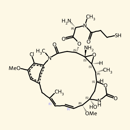 COc1cc2cc(c1Cl)N(C)C(=O)C[C@H](OC(=O)[C@H](N)N(C)C(=O)CCS)[C@]1(N)O[C@H]1[C@H](C)[C@@H]1C[C@@](O)(NC(=O)O1)[C@H](OC)/C=C/C=C(\C)C2